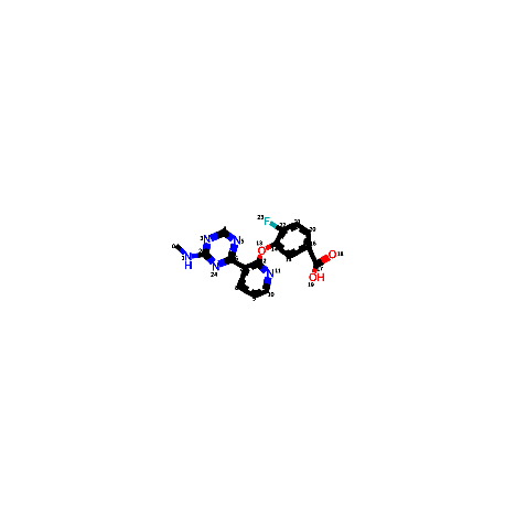 CNc1ncnc(-c2cccnc2Oc2cc(C(=O)O)ccc2F)n1